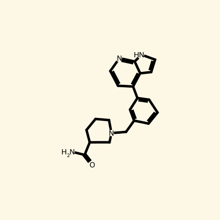 NC(=O)C1CCCN(Cc2cccc(-c3ccnc4[nH]ccc34)c2)C1